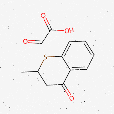 CC1CC(=O)c2ccccc2S1.O=CC(=O)O